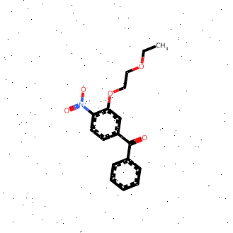 CCOCCOc1cc(C(=O)c2ccccc2)ccc1[N+](=O)[O-]